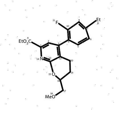 CCOC(=O)c1cc(-c2ccc(CC)cc2F)c2c(n1)OC(COC)CC2